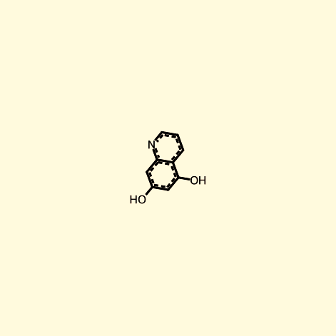 Oc1cc(O)c2cccnc2c1